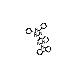 C1=CCN2C(=C1)C(c1nc(-c3ccccc3)nc(-c3ccccc3)n1)=CN=C2n1c2ccccc2c2ccccc21